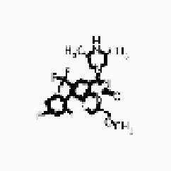 COC[C@H]1CSc2c(-c3ccc(F)cc3F)c(C(F)(F)F)cc3c(N4C[C@@H](C)N[C@@H](C)C4)nc(=O)n1c23